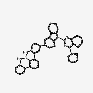 c1ccc(-c2nc(-n3c4ccccc4c4cc(-c5ccc6c(c5)-c5cccc7c5B(Nc5ccccc5-7)N6)ccc43)nc3ccccc23)cc1